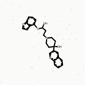 OC(CCN1CCC(O)(c2cnc3ccccc3c2)CC1)Oc1cccc2occc12